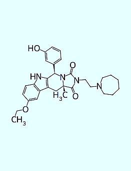 CCOc1ccc2[nH]c3c(c2c1)C[C@@]1(C)C(=O)N(CCN2CCCCCC2)C(=O)N1[C@@H]3c1cccc(O)c1